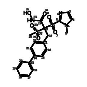 Cn1ccnc1S(=O)(=O)C(Cc1ccc(-c2ccccc2)cc1)(C(=O)NO)S(C)(=O)=O